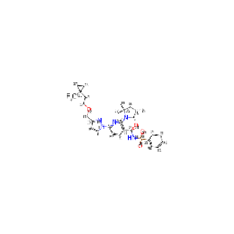 C[C@@H]1CN(c2nc(-n3ccc(COCCC4(C(F)(F)F)CC4)n3)ccc2C(=O)NS(=O)(=O)c2ccccc2)C(C)(C)C1